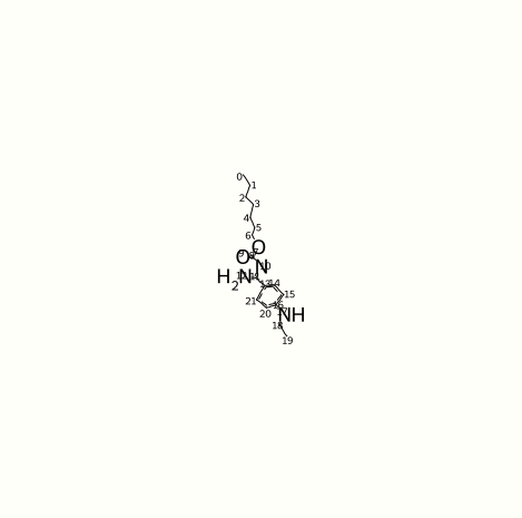 CCCCCCCOC(=O)/N=C(\N)c1ccc(NCC)cc1